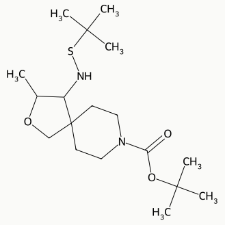 CC1OCC2(CCN(C(=O)OC(C)(C)C)CC2)C1NSC(C)(C)C